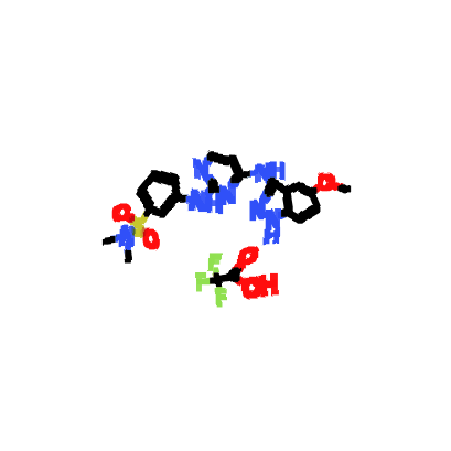 COc1ccc2[nH]nc(Nc3ccnc(Nc4cccc(S(=O)(=O)N(C)C)c4)n3)c2c1.O=C(O)C(F)(F)F